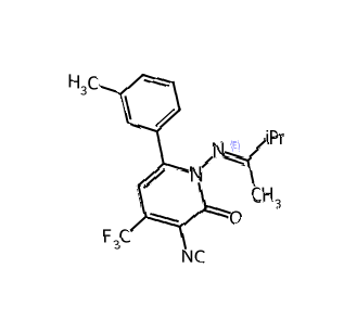 [C-]#[N+]c1c(C(F)(F)F)cc(-c2cccc(C)c2)n(/N=C(\C)C(C)C)c1=O